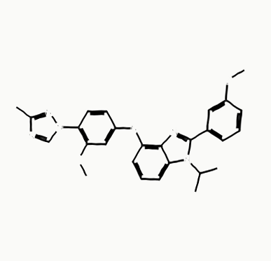 COc1cccc(-c2nc3c(Nc4ccc(-n5cnc(C)n5)c(OC)c4)cccc3n2C(C)C)c1